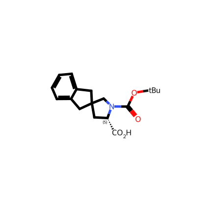 CC(C)(C)OC(=O)N1CC2(Cc3ccccc3C2)C[C@H]1C(=O)O